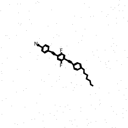 CCCCCCCc1ccc(C#Cc2cc(F)c(C#Cc3ccc(C#N)cc3)cc2F)cc1